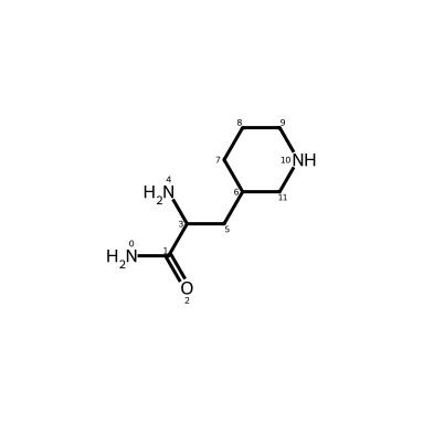 NC(=O)C(N)CC1CCCNC1